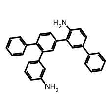 Nc1cccc(-c2cc(-c3cc(-c4ccccc4)ccc3N)ccc2-c2ccccc2)c1